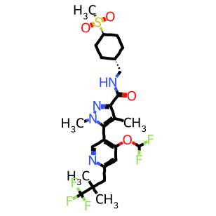 Cc1c(C(=O)NC[C@H]2CC[C@H](S(C)(=O)=O)CC2)nn(C)c1-c1cnc(CC(C)(C)C(F)(F)F)cc1OC(F)F